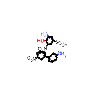 Nc1cc(S(=O)(=O)O)cc([N+](=O)[O-])c1O.Nc1cccc(-c2cccc([N+](=O)[O-])c2)c1